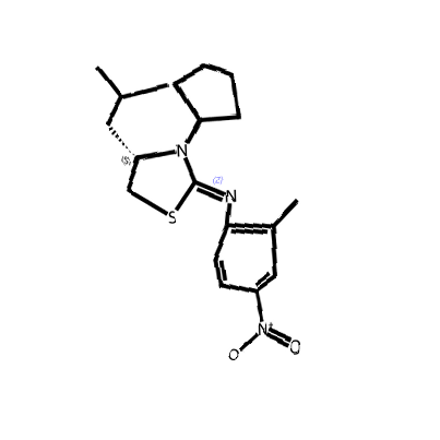 Cc1cc([N+](=O)[O-])ccc1/N=C1\SC[C@H](CC(C)C)N1C1CCCC1